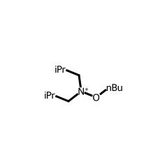 CCCCO[N+](CC(C)C)CC(C)C